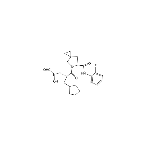 O=CN(O)C[C@@H](CC1CCCC1)C(=O)N1CC2(CC2)C[C@H]1C(=O)Nc1ncccc1F